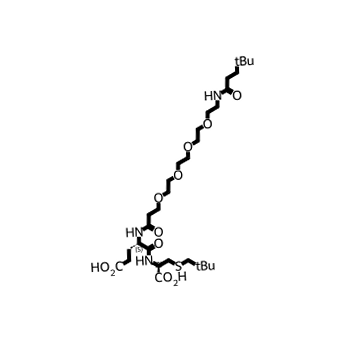 CC(C)(C)CCC(=O)NCCOCCOCCOCCOCCC(=O)N[C@@H](CCC(=O)O)C(=O)N[C@@H](CSCC(C)(C)C)C(=O)O